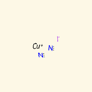 [Cu+].[I-].[N].[N]